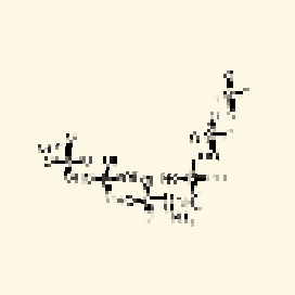 O=P(O)(O)O.O=P(O)(O)O.O=P(O)(O)O.O=S(=O)([O-])[O-].O=S(=O)([O-])[O-].O=S(=O)([O-])[O-].[Ce+4].[NH4+].[NH4+]